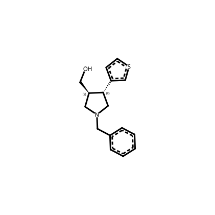 OC[C@@H]1CN(Cc2ccccc2)C[C@H]1c1ccsc1